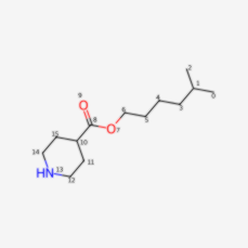 CC(C)CCCCOC(=O)C1CCNCC1